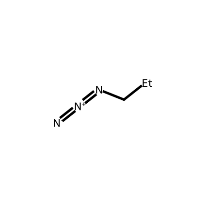 [CH2]CCN=[N+]=[N-]